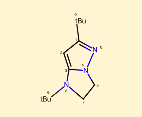 CC(C)(C)c1cc2n(n1)CCN2C(C)(C)C